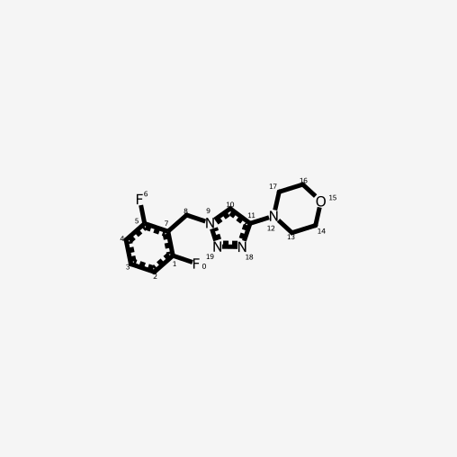 Fc1cccc(F)c1Cn1cc(N2CCOCC2)nn1